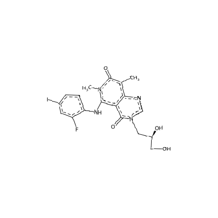 Cc1c(=O)n(C)c(Nc2ccc(I)cc2F)c2c(=O)n(C[C@@H](O)CO)cnc12